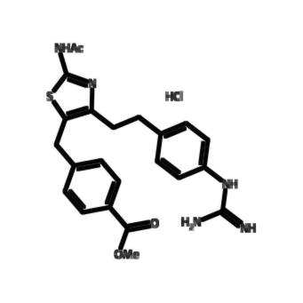 COC(=O)c1ccc(Cc2sc(NC(C)=O)nc2CCc2ccc(NC(=N)N)cc2)cc1.Cl